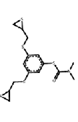 CN(C)C(=O)Sc1cc(SCC2CS2)cc(SCC2CS2)c1